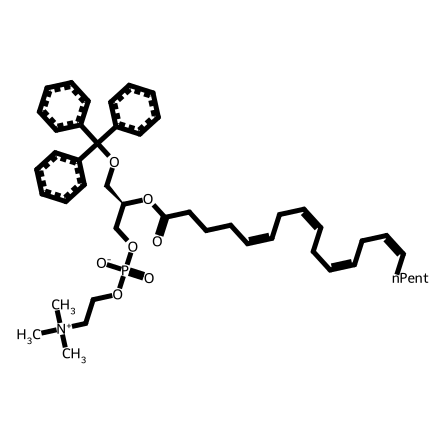 CCCCC/C=C\C/C=C\C/C=C\C/C=C\CCCC(=O)O[C@H](COC(c1ccccc1)(c1ccccc1)c1ccccc1)COP(=O)([O-])OCC[N+](C)(C)C